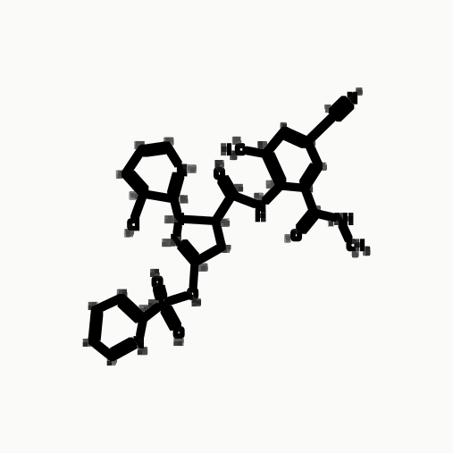 CNC(=O)c1cc(C#N)cc(C)c1NC(=O)C1CC(OS(=O)(=O)c2ccccn2)=NN1c1ncccc1Cl